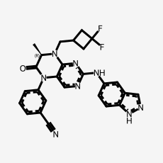 C[C@@H]1C(=O)N(c2cccc(C#N)c2)c2cnc(Nc3ccc4[nH]ncc4c3)nc2N1CC1CC(F)(F)C1